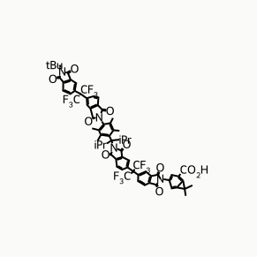 Cc1c(C)c(C(C(C)C)(C(C)C)N2C(=O)c3ccc(C(c4ccc5c(c4)C(=O)N(c4cc(C(=O)O)c6c(c4)C6(C)C)C5=O)(C(F)(F)F)C(F)(F)F)cc3C2=O)c(C)c(C)c1N1C(=O)c2ccc(C(c3ccc4c(c3)C(=O)N(C(C)(C)C)C4=O)(C(F)(F)F)C(F)(F)F)cc2C1=O